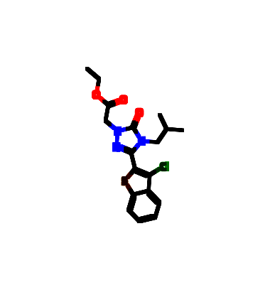 CCOC(=O)Cn1nc(-c2sc3ccccc3c2Cl)n(CC(C)C)c1=O